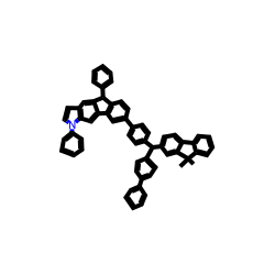 CC1(C)c2ccccc2-c2ccc(C(c3ccc(-c4ccccc4)cc3)c3ccc(-c4ccc5c(c4)-c4cc6c(ccn6-c6ccccc6)cc4C5c4ccccc4)cc3)cc21